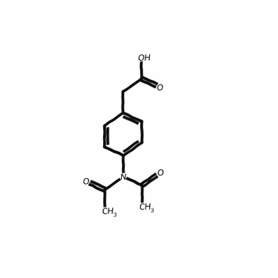 CC(=O)N(C(C)=O)c1ccc(CC(=O)O)cc1